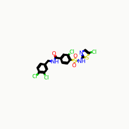 O=C(NCc1ccc(Cl)c(Cl)c1)c1ccc(S(=O)(=O)Nc2ncc(Cl)s2)c(Cl)c1